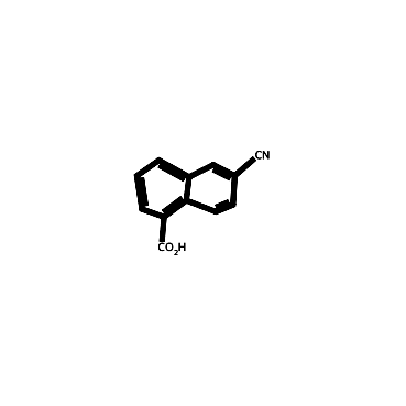 N#Cc1ccc2c(C(=O)O)cccc2c1